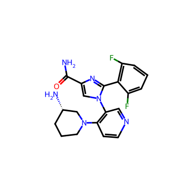 NC(=O)c1cn(-c2cnccc2N2CCC[C@H](N)C2)c(-c2c(F)cccc2F)n1